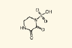 O=C1NCCN(S(=O)(=O)O)C1=O